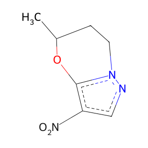 CC1CCn2ncc([N+](=O)[O-])c2O1